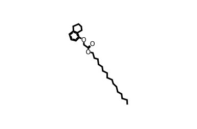 CCCCCCCCCCCCCCCCOC(=O)COc1cccc2c1CCCC2